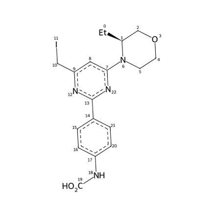 CC[C@H]1COCCN1c1cc(CI)nc(-c2ccc(NC(=O)O)cc2)n1